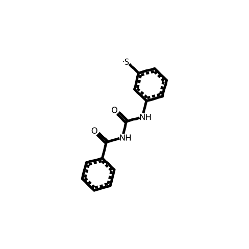 O=C(NC(=O)c1ccccc1)Nc1cccc([S])c1